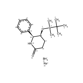 CC(C)(C)[Si](C)(C)O[C@H]1CCC(=O)N[C@H]1c1ccccc1.[BH4-].[Na+]